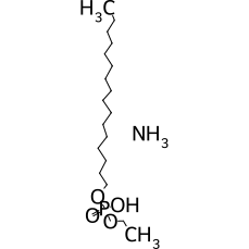 CCCCCCCCCCCCCCCCOP(=O)(O)OCC.N